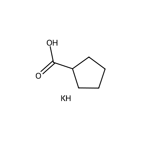 O=C(O)C1CCCC1.[KH]